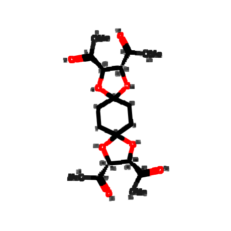 COC(=O)[C@@H]1OC2(CCC3(CC2)O[C@@H](C(=O)OC)[C@H](C(=O)OC)O3)O[C@H]1C(=O)OC